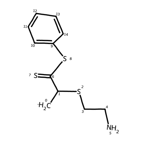 [CH2]C(SCCN)C(=S)Sc1ccccc1